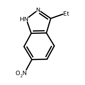 CCc1n[nH]c2cc([N+](=O)[O-])ccc12